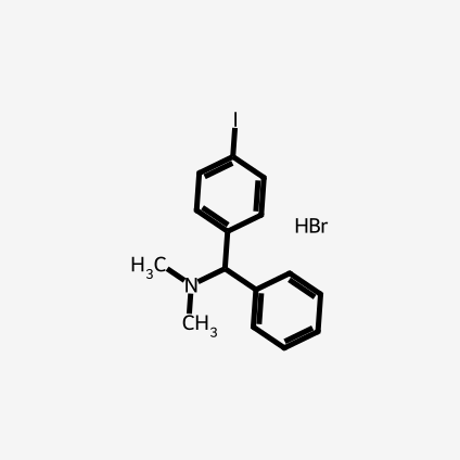 Br.CN(C)C(c1ccccc1)c1ccc(I)cc1